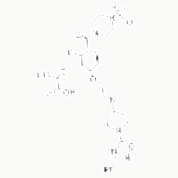 CC(C)c1noc(N2CCC(N(C)CCOc3ccc(C(=O)N4CCN(S(C)(=O)=O)CC4)c(F)c3)CC2)n1.O=C(O)C(=O)O